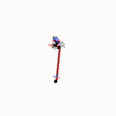 CCNC(=O)c1cc2c(-c3cc(C(C)(C)O)ccc3Oc3c(C)cc(OCCOCCOCCOCCOCCOCCOCCOCCOCCNC(=O)OCc4ccccc4)cc3C)cn(C)c(=O)c2[nH]1